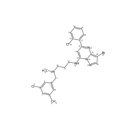 Cc1cc(Cl)cc(CN(C)CCCNc2cc(-c3ccccc3Cl)nc3c(Br)cnn23)c1